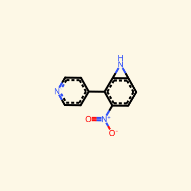 O=[N+]([O-])c1ccc2c(c1-c1ccncc1)N2